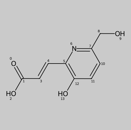 O=C(O)/C=C/c1nc(CO)ccc1O